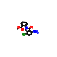 COC(=O)c1ccccc1N1Cc2c(Cl)ccc(N)c2C1=O